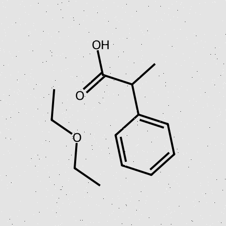 CC(C(=O)O)c1ccccc1.CCOCC